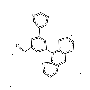 O=Cc1cc(-c2cccnc2)cc(-c2c3ccccc3cc3ccccc23)c1